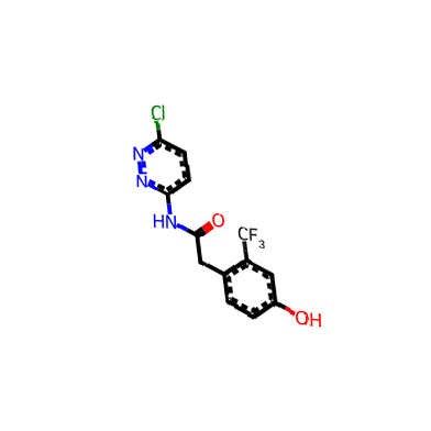 O=C(Cc1ccc(O)cc1C(F)(F)F)Nc1ccc(Cl)nn1